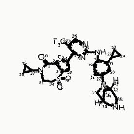 O=C1c2sc(-c3nc(Nc4ccc(N5C[C@@H]6C[C@H]5CN6)cc4C4CC4)ncc3C(F)(F)F)cc2S(=O)(=O)CCN1C1CC1